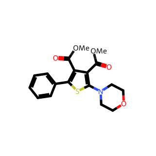 COC(=O)c1c(-c2ccccc2)sc(N2CCOCC2)c1C(=O)OC